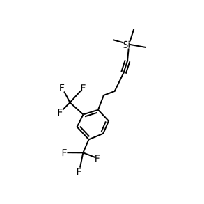 C[Si](C)(C)C#CCCc1ccc(C(F)(F)F)cc1C(F)(F)F